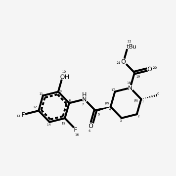 C[C@@H]1CC[C@@H](C(=O)Nc2c(O)cc(F)cc2F)CN1C(=O)OC(C)(C)C